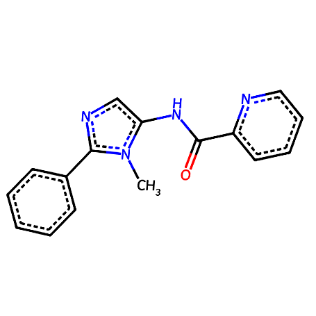 Cn1c(NC(=O)c2ccccn2)cnc1-c1ccccc1